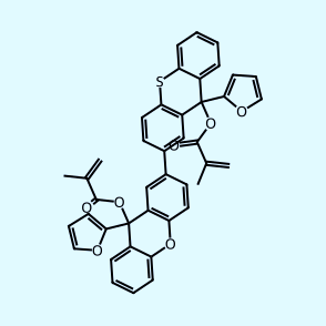 C=C(C)C(=O)OC1(c2ccco2)c2ccccc2Oc2ccc(-c3ccc4c(c3)C(OC(=O)C(=C)C)(c3ccco3)c3ccccc3S4)cc21